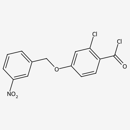 O=C(Cl)c1ccc(OCc2cccc([N+](=O)[O-])c2)cc1Cl